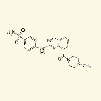 CN1CCN(C(=O)c2cccc3cnc(Nc4ccc(S(N)(=O)=O)cc4)nc23)CC1